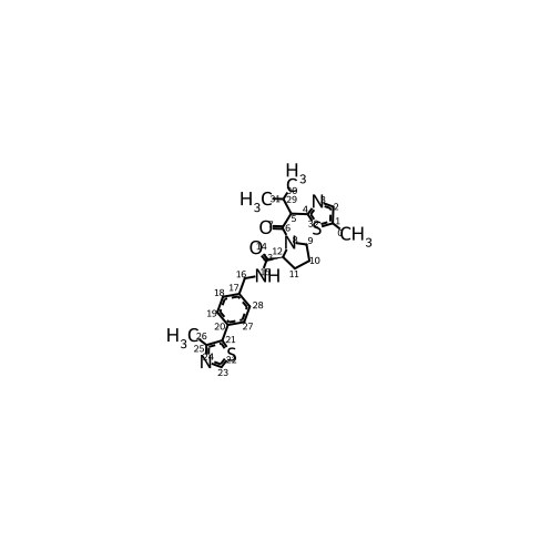 Cc1cnc(C(C(=O)N2CCC[C@H]2C(=O)NCc2ccc(-c3scnc3C)cc2)C(C)C)s1